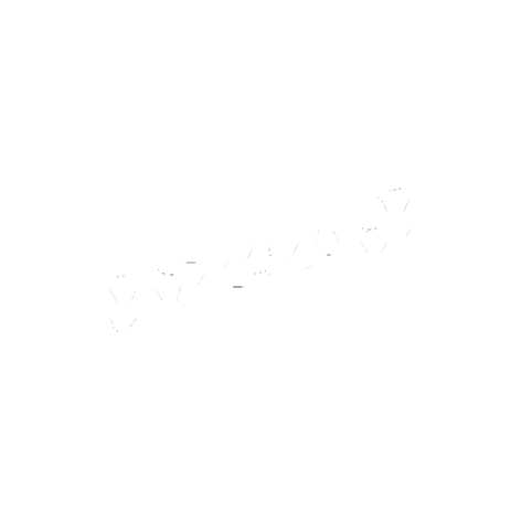 c1cc(-c2ccc3cc(-c4ccc5nc(-c6ccc7cc(-c8ccc9ccc%10cccnc%10c9n8)ccc7c6)ccc5c4)ccc3n2)c2ccncc2c1